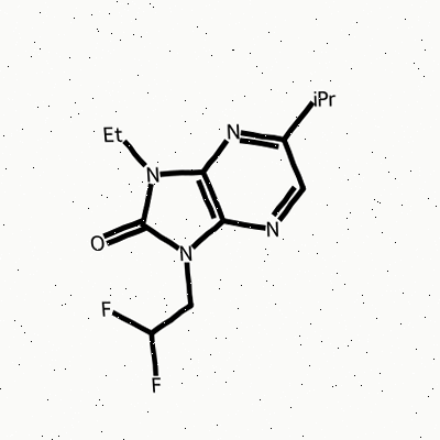 CCn1c(=O)n(CC(F)F)c2ncc(C(C)C)nc21